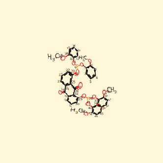 COc1ccccc1OP(Oc1ccccc1OC)Oc1cccc2c1C(=O)c1c(OP(Oc3ccccc3OC)Oc3ccccc3OC)cccc1C2=O